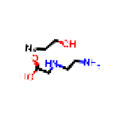 NCCNCC(=O)O.OC[CH2][Na]